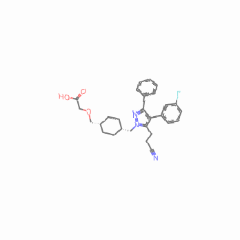 N#CCCc1c(-c2cccc(F)c2)c(-c2ccccc2)nn1C[C@H]1CC[C@@H](COCC(=O)O)CC1